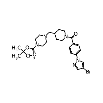 CC(C)(C)OC(=O)N1CCN(CC2CCN(C(=O)c3ccc(-n4cc(Br)cn4)cc3)CC2)CC1